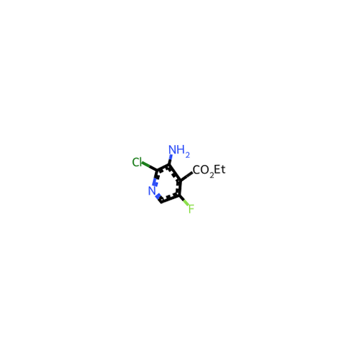 CCOC(=O)c1c(F)cnc(Cl)c1N